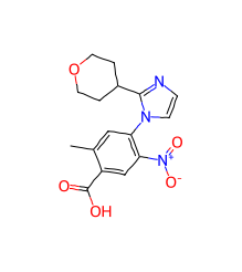 Cc1cc(-n2ccnc2C2CCOCC2)c([N+](=O)[O-])cc1C(=O)O